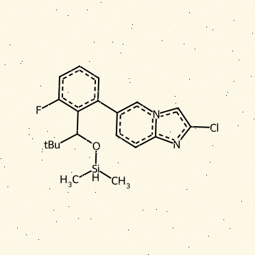 C[SiH](C)OC(c1c(F)cccc1-c1ccc2nc(Cl)cn2c1)C(C)(C)C